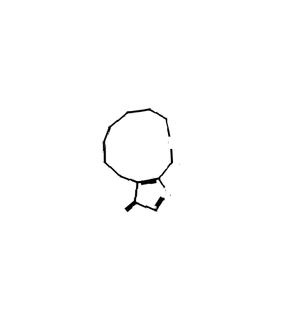 O=C1C=NC2=C1CCCCCCCCC2